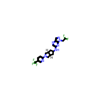 FC(F)Cn1ncc2ncc(NC3C[C@@H]4CN(c5ccc(C(F)(F)F)cn5)C[C@@H]4C3)nc21